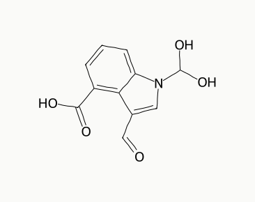 O=Cc1cn(C(O)O)c2cccc(C(=O)O)c12